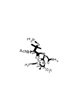 CC(=O)N[C@H](C(=O)N[C@@H](CC(N)=O)C(=O)N[C@H](C(=O)O)[C@@H](C)OP)C(C)(C)SP